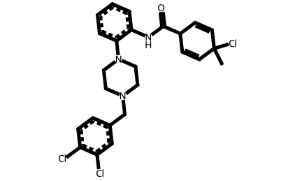 CC1(Cl)C=CC(C(=O)Nc2ccccc2N2CCN(Cc3ccc(Cl)c(Cl)c3)CC2)C=C1